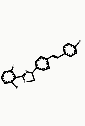 Fc1ccc(/C=C/c2ccc(C3COC(c4c(F)cccc4F)=N3)cc2)cc1